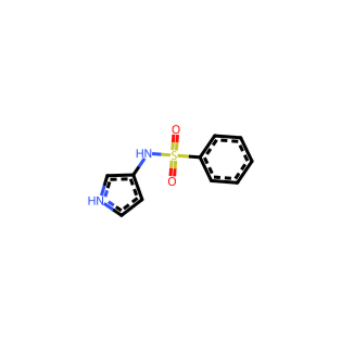 O=S(=O)(Nc1cc[nH]c1)c1ccccc1